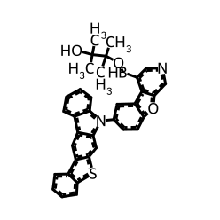 CC(C)(O)C(C)(C)OBc1cncc2oc3ccc(-n4c5ccccc5c5cc6c(cc54)sc4ccccc46)cc3c12